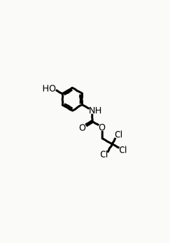 O=C(Nc1ccc(O)cc1)OCC(Cl)(Cl)Cl